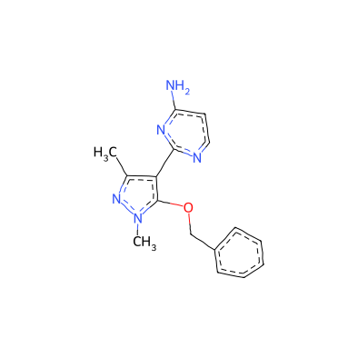 Cc1nn(C)c(OCc2ccccc2)c1-c1nccc(N)n1